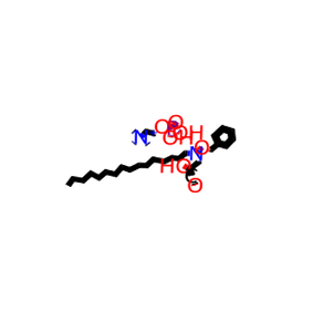 CCCCCCCCCCCCCCCCN(CC(O)=C=O)OCc1ccccc1.C[N+](C)(C)CCOP(=O)(O)O